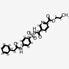 CCCOC(=O)c1ccc(C(=O)NS(=O)(=O)c2ccc(NC(=O)Cc3ccccc3)cc2)cn1